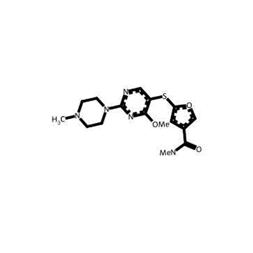 CNC(=O)c1coc(Sc2cnc(N3CCN(C)CC3)nc2OC)c1